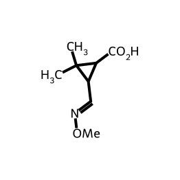 CON=CC1C(C(=O)O)C1(C)C